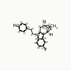 CN1[C@@H]2CC[C@H]1c1c(n(CCc3ccc(F)cc3)c3ccc(F)cc13)C2